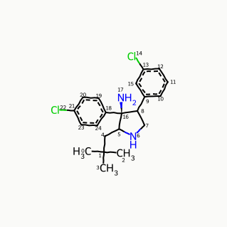 CC(C)(C)CC1NCC(c2cccc(Cl)c2)[C@@]1(N)c1ccc(Cl)cc1